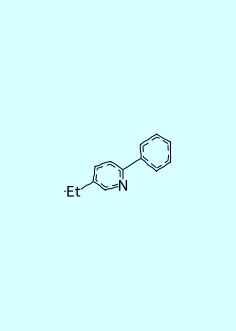 C[CH]c1ccc(-c2ccccc2)nc1